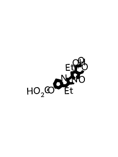 CCc1c2c(nc3ccc(OC(=O)O)cc13)-c1cc3c(c(=O)n1C2)COC(=O)[C@]3(O)CC